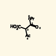 CCCC(=O)C(C(C)=O)C(=O)O